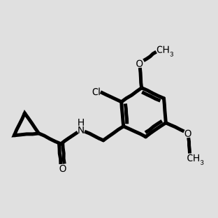 COc1cc(CNC(=O)C2CC2)c(Cl)c(OC)c1